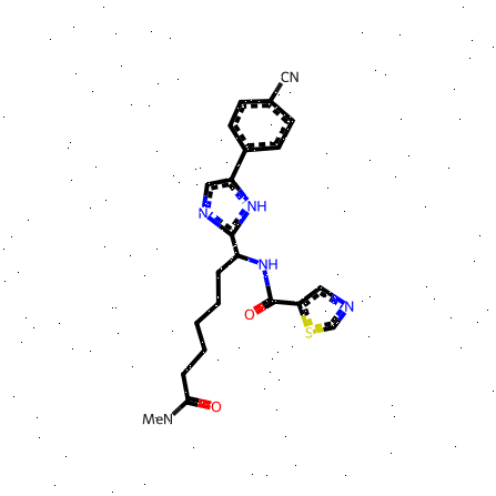 CNC(=O)CCCCCC(NC(=O)c1cncs1)c1ncc(-c2ccc(C#N)cc2)[nH]1